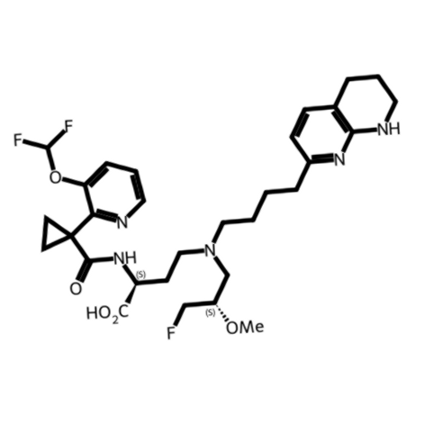 CO[C@H](CF)CN(CCCCc1ccc2c(n1)NCCC2)CC[C@H](NC(=O)C1(c2ncccc2OC(F)F)CC1)C(=O)O